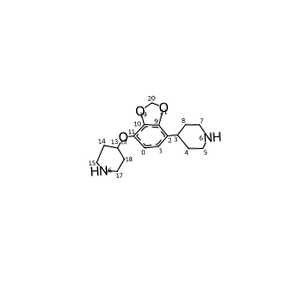 c1cc(C2CCNCC2)c2c(c1OC1CCNCC1)OCO2